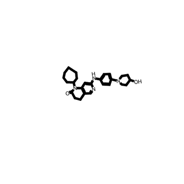 O=C1CCc2cnc(Nc3ccc(N4CCC(O)CC4)cc3)cc2N1C1CCCCCC1